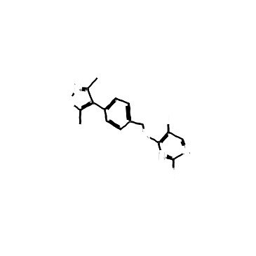 Cc1noc(C)c1-c1ccc(CNc2nc(Cl)ncc2I)cc1